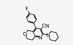 N#Cc1c(N2CCCCC2)nc2c(c1-c1ccc(F)cc1)COCC2